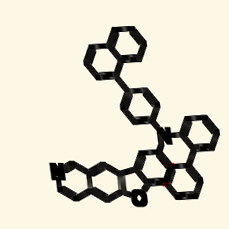 c1ccc(-c2ccccc2N(c2ccc(-c3cccc4ccccc34)cc2)c2ccc3oc4cc5ccncc5cc4c3c2)cc1